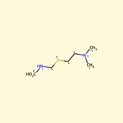 CN(C)CCSCNC(=O)O